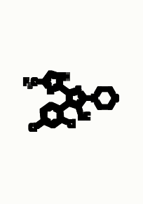 [C-]#[N+]c1c(N2CCOCC2)sc(-c2nc(C(F)(F)F)c[nH]2)c1-c1ccc(Cl)cc1Cl